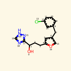 OC(CCc1cc(Cc2cccc(Cl)c2)co1)c1nc[nH]n1